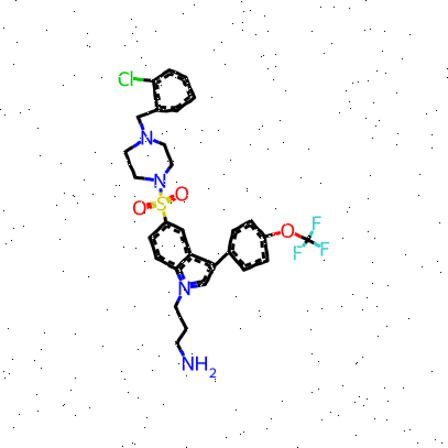 NCCCn1cc(-c2ccc(OC(F)(F)F)cc2)c2cc(S(=O)(=O)N3CCN(Cc4ccccc4Cl)CC3)ccc21